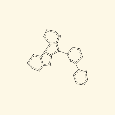 c1ccc(-c2cccc(-n3c4ncccc4c4c5ccccc5sc43)n2)nc1